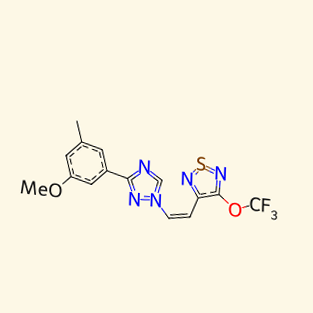 COc1cc(C)cc(-c2ncn(/C=C\c3nsnc3OC(F)(F)F)n2)c1